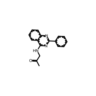 CC(=O)CNc1nc(-c2ccccc2)nc2ccccc12